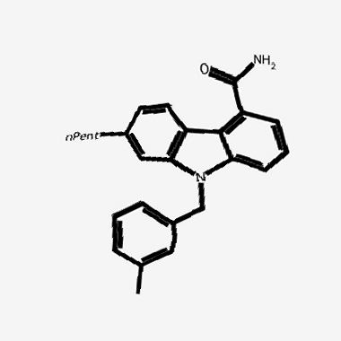 CCCCCc1c[c]c2c3c(C(N)=O)cccc3n(Cc3cccc(C)c3)c2c1